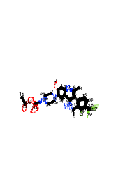 COc1cc2nc(C)cc(N[C@H](C)c3cccc(C(F)F)c3F)c2cc1N1CCN(C(=O)OC(C)=O)CC1